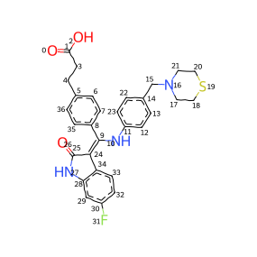 O=C(O)CCc1ccc(C(Nc2ccc(CN3CCSCC3)cc2)=C2C(=O)Nc3cc(F)ccc32)cc1